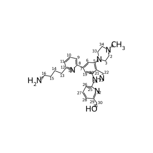 CN1CCN(c2cc(-c3cccc(CCCCN)n3)cc3c2cnn3-c2cccc(CO)n2)CC1